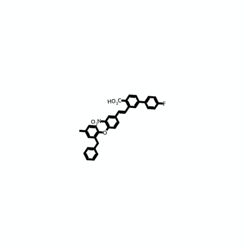 Cc1ccc(Oc2ccc(/C=C/c3cc(-c4ccc(F)cc4)ccc3C(=O)O)cc2[N+](=O)[O-])c(Cc2ccccc2)c1